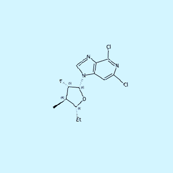 CC[C@H]1O[C@@H](n2cnc3c(Cl)nc(Cl)cc32)[C@@H](F)[C@@H]1C